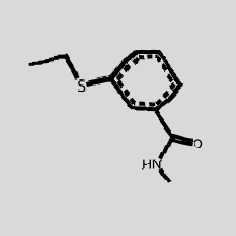 CCSc1cccc(C(=O)NC)c1